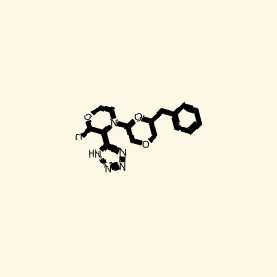 ClC1OCCN(C2COCC(Cc3ccccc3)O2)C1c1nnn[nH]1